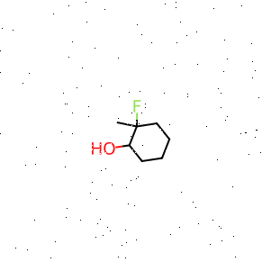 CC1(F)CCCCC1O